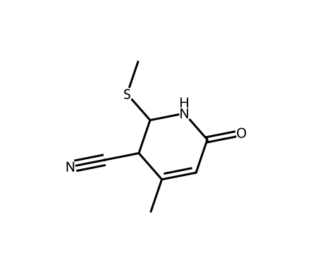 CSC1NC(=O)C=C(C)C1C#N